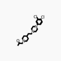 CC(=O)CN1CCC(CCN2CCN(c3ccc(Cl)c(Cl)c3)CC2)CC1